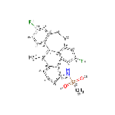 CC(=C1c2ccc(F)cc2CCc2cc(F)ccc21)c1cccc(NS(C)(=O)=O)c1